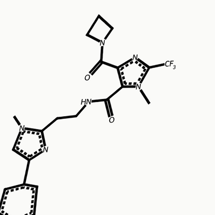 Cn1cc(-c2ccccc2)nc1CCNC(=O)c1c(C(=O)N2CCC2)nc(C(F)(F)F)n1C